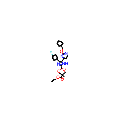 C=CCOC(=O)C1(C)COC(c2nc(-c3ccc(F)cc3)c(-c3ccnc(OCc4ccccc4)n3)[nH]2)OC1